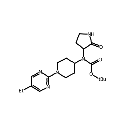 CCc1cnc(N2CCC(N(C(=O)OC(C)(C)C)C3CCNC3=O)CC2)nc1